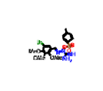 COc1c(Br)cc(C=NN(OS(=O)(=O)c2ccc(C)cc2)C(=N)N)c(OC)c1OC